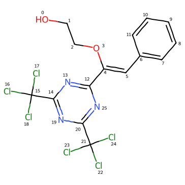 OCCOC(=Cc1ccccc1)c1nc(C(Cl)(Cl)Cl)nc(C(Cl)(Cl)Cl)n1